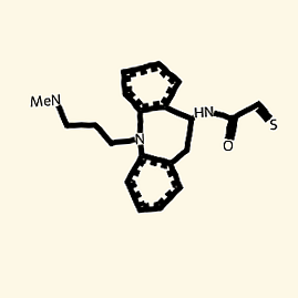 CNCCCN1c2ccccc2CC(NC(=O)C=S)c2ccccc21